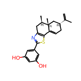 C=C(C)[C@@H]1CC=C2c3sc(-c4cc(O)cc(O)c4)nc3C[C@@H](C)[C@]2(C)C1